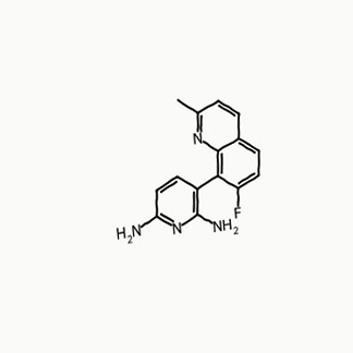 Cc1ccc2ccc(F)c(-c3ccc(N)nc3N)c2n1